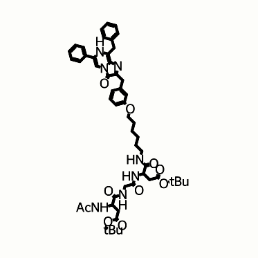 CC(=O)NC(CC(=O)OC(C)(C)C)C(=O)NCC(=O)NC(CC(=O)OC(C)(C)C)C(=O)NCCCCCCOc1cccc(Cc2nc3c(Cc4ccccc4)[nH]c(-c4ccccc4)cn-3c2=O)c1